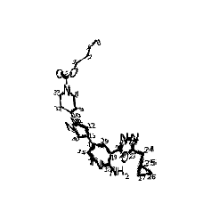 CCCCOC(=O)N1CCC(n2cc(-c3cnc(N)c(-c4nnc(CC5CC5)o4)c3)cn2)CC1